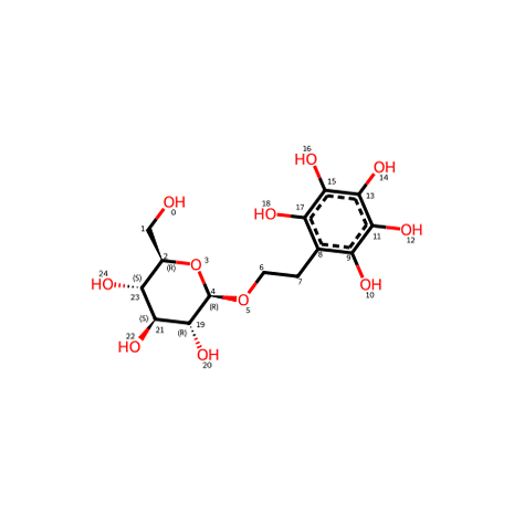 OC[C@H]1O[C@@H](OCCc2c(O)c(O)c(O)c(O)c2O)[C@H](O)[C@@H](O)[C@@H]1O